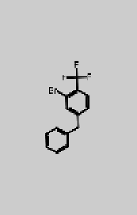 FC(F)(F)c1ccc(Cc2ccccc2)cc1Br